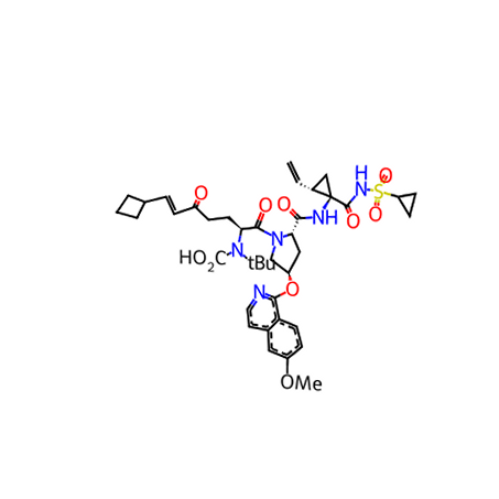 C=C[C@@H]1C[C@]1(NC(=O)[C@@H]1C[C@@H](Oc2nccc3cc(OC)ccc23)CN1C(=O)[C@H](CCC(=O)C=CC1CCC1)N(C(=O)O)C(C)(C)C)C(=O)NS(=O)(=O)C1CC1